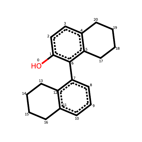 Oc1ccc2c(c1-c1cccc3c1CCCC3)CCCC2